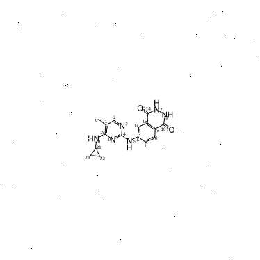 Cc1cnc(Nc2ccc3c(=O)[nH][nH]c(=O)c3c2)nc1NC1CC1